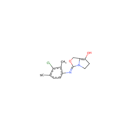 Cc1c(N=C2OCC3=C(O)CCN23)ccc(C#N)c1Cl